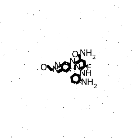 COCCn1cc2ccc(Nc3nc(NC4CCCC[C@@H]4N)c(F)cc3C(N)=O)cc2n1